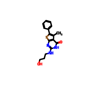 Cc1c(-c2ccccc2)sc2nc(NCCCO)[nH]c(=O)c12